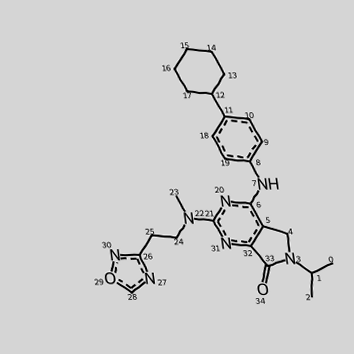 CC(C)N1Cc2c(Nc3ccc(C4CCCCC4)cc3)nc(N(C)CCc3ncon3)nc2C1=O